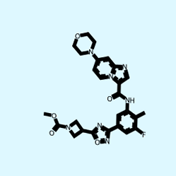 COC(=O)N1CC(c2nc(-c3cc(F)c(C)c(NC(=O)c4cnc5cc(N6CCOCC6)ccn45)c3)no2)C1